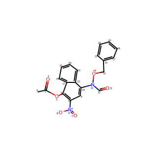 CC(=O)Oc1c([N+](=O)[O-])cc(N(C=O)OCc2ccccc2)c2ccccc12